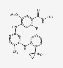 COc1cc(C(=O)NOCC(C)C)c(F)cc1Nc1ncc(C(F)(F)F)c(Nc2ccccc2P2(=O)CC2)n1